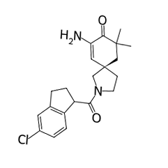 CC1(C)C[C@@]2(C=C(N)C1=O)CCN(C(=O)C1CCc3cc(Cl)ccc31)C2